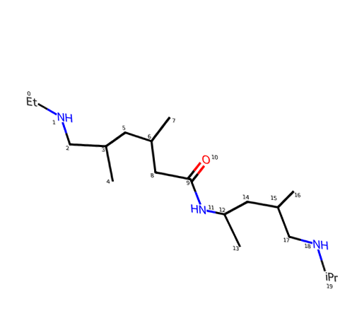 CCNCC(C)CC(C)CC(=O)NC(C)CC(C)CNC(C)C